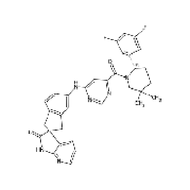 CC1(C)CC[C@@H](c2cc(F)cc(F)c2)N(C(=O)c2cc(Nc3ccc4c(c3)CC3(C4)C(=O)Nc4ncccc43)ncn2)C1